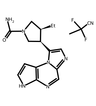 CC(F)(F)C#N.CC[C@@H]1CN(C(N)=O)C[C@@H]1c1cnc2cnc3[nH]ccc3n12